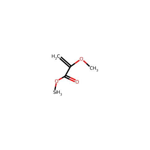 C=C(OC)C(=O)O[SiH3]